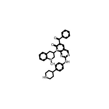 CN1CC(n2c(=O)c(C(=O)c3ccccc3)cc3cnc(Nc4ccc(C5CCNCC5)cc4)nc32)Cc2ccccc21